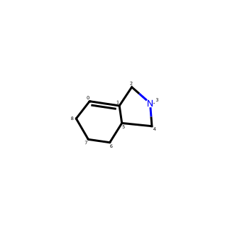 C1=C2C[N]CC2CCC1